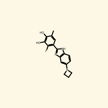 Cc1cc(-c2nc3cc(N4CCC4)ccc3[nH]2)c(F)c(O)c1O